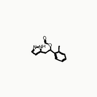 Cc1ccccc1C(Cc1ccn[nH]1)OC=O